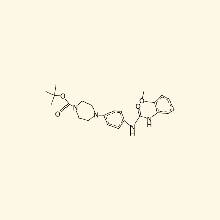 COc1ccccc1NC(=O)Nc1ccc(N2CCN(C(=O)OC(C)(C)C)CC2)cc1